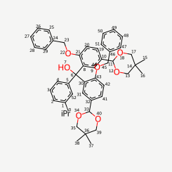 CC(C)c1cccc(C(O)(c2cc(C3OCC(C)(C)CO3)ccc2OCc2ccccc2)c2cc(C3OCC(C)(C)CO3)ccc2OCc2ccccc2)c1